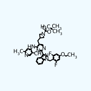 CCOc1cc(F)c(Cn2nc(-c3ncc(CC4CN(C(=O)OC(C)(C)C)C4)c(Nc4cc(C)ncc4C)n3)c3ccccc32)c(F)c1